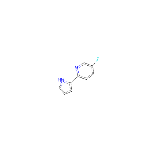 Fc1ccc(-c2ccc[nH]2)nc1